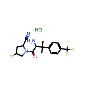 CC(C)(c1ccc(C(F)(F)F)cc1)C(N)C(=O)N1CC(F)CC1C#N.Cl